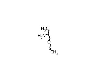 CCC(N)COCSC